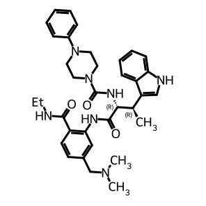 CCNC(=O)c1ccc(CN(C)C)cc1NC(=O)[C@H](NC(=O)N1CCN(c2ccccc2)CC1)[C@H](C)c1c[nH]c2ccccc12